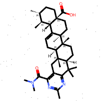 Cc1nc(C(=O)N(C)C)c2c(n1)C(C)(C)[C@@H]1CC[C@]3(C)[C@H](CC=C4[C@@H]5[C@@H](C)[C@H](C)CC[C@]5(C(=O)O)CC[C@]43C)[C@@]1(C)C2